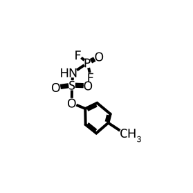 Cc1ccc(OS(=O)(=O)NP(=O)(F)F)cc1